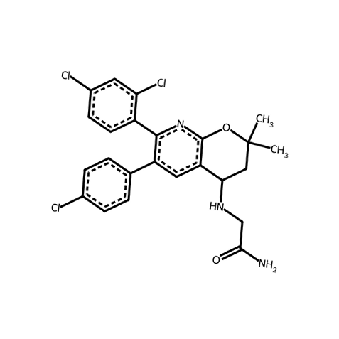 CC1(C)CC(NCC(N)=O)c2cc(-c3ccc(Cl)cc3)c(-c3ccc(Cl)cc3Cl)nc2O1